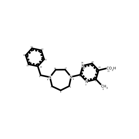 Cc1nc(N2CCCN(Cc3ccccc3)CC2)ncc1C(=O)O